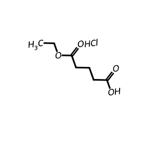 CCOC(=O)CCCC(=O)O.Cl